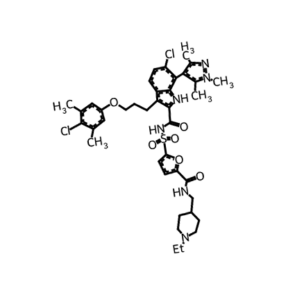 CCN1CCC(CNC(=O)c2ccc(S(=O)(=O)NC(=O)c3[nH]c4c(-c5c(C)nn(C)c5C)c(Cl)ccc4c3CCCOc3cc(C)c(Cl)c(C)c3)o2)CC1